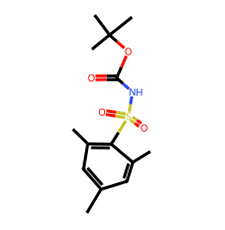 Cc1cc(C)c(S(=O)(=O)NC(=O)OC(C)(C)C)c(C)c1